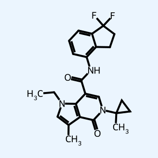 CCn1cc(C)c2c(=O)n(C3(C)CC3)cc(C(=O)Nc3cccc4c3CCC4(F)F)c21